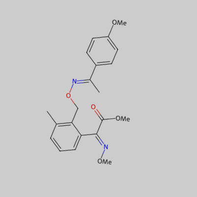 CO/N=C(/C(=O)OC)c1cccc(C)c1CO/N=C(\C)c1ccc(OC)cc1